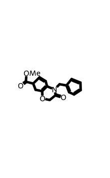 COC(=O)C1C=CC2=C(C1)OCC(=O)N2Cc1ccccc1